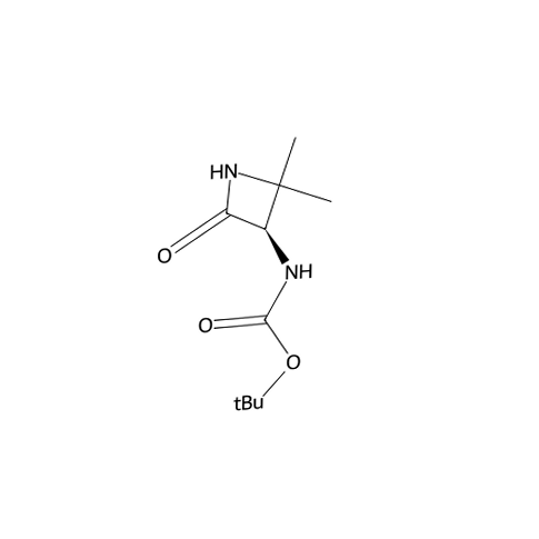 CC(C)(C)OC(=O)N[C@H]1C(=O)NC1(C)C